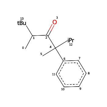 CC(C(=O)C(C)(c1ccccc1)C(C)C)C(C)(C)C